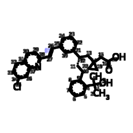 CC(C)(O)c1ccccc1CC[C@@H](CC1(CC(=O)O)CC1)c1cccc(/C=C/c2ccc3ccc(Cl)cc3n2)c1